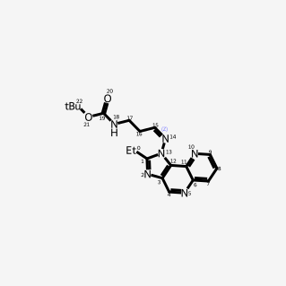 CCc1nc2cnc3cccnc3c2n1/N=C\CCNC(=O)OC(C)(C)C